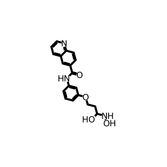 O=C(Nc1cccc(OCCC(O)NO)c1)c1ccc2ncccc2c1